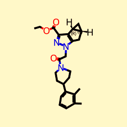 CCOC(=O)c1nn(CC(=O)N2CCC(c3cccc(C)c3C)CC2)c2c1[C@@H]1C[C@@H]1C2